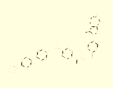 Cn1c2cnccc2c(=O)n1-c1ccc(C[C@H](NC(=O)c2cc(F)c(NS(=O)(=O)c3ccc(-c4cnc(N5CCC5)nc4)cc3)cc2F)C(=O)O)nc1